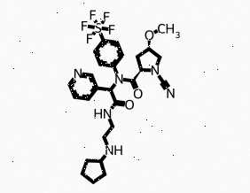 CO[C@@H]1C[C@H](C(=O)N(c2ccc(S(F)(F)(F)(F)F)cc2)C(C(=O)NCCNC2CCCC2)c2cccnc2)N(C#N)C1